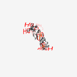 B[C@@H]1O[C@H](CC(C)(C)OP(B)(=O)C(C)(CC)C(C)(CC)OP(=O)(O)C(C)(O)CC)[C@@H](O)[C@H]1O